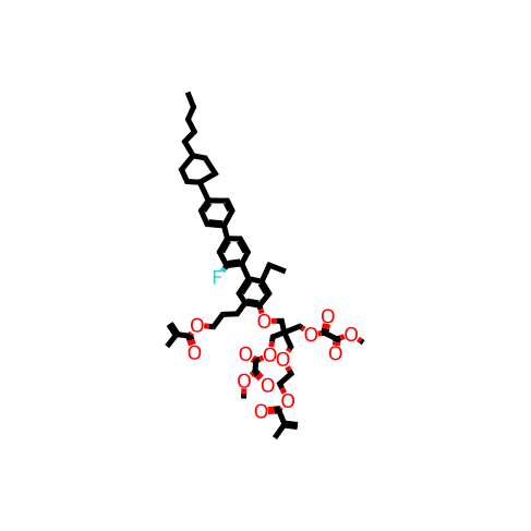 C=C(C)C(=O)OCCCc1cc(-c2ccc(-c3ccc(C4CCC(CCCCC)CC4)cc3)cc2F)c(CC)cc1OCC(COCCOC(=O)C(=C)C)(COC(=O)C(=O)OC)COC(=O)C(=O)OC